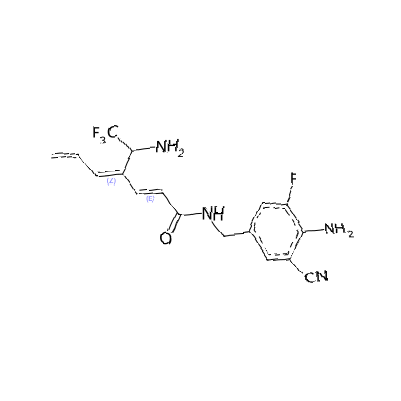 C=C/C=C(/C=C/C(=O)NCc1cc(F)c(N)c(C#N)c1)C(N)C(F)(F)F